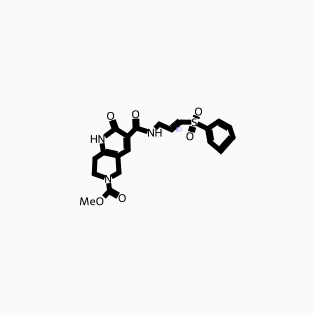 COC(=O)N1CCc2[nH]c(=O)c(C(=O)NC/C=C/S(=O)(=O)c3ccccc3)cc2C1